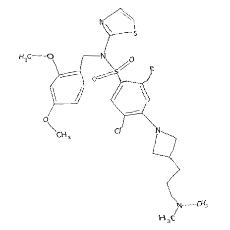 COc1ccc(CN(c2nccs2)S(=O)(=O)c2cc(Cl)c(N3CC(CCN(C)C)C3)cc2F)c(OC)c1